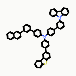 c1cc(-c2ccc(N(c3ccc(-c4cccc(-n5c6ccccc6c6ccccc65)c4)cc3)c3ccc(-c4ccc5sc6ccccc6c5c4)cc3)cc2)cc(-c2ccc3ccccc3c2)c1